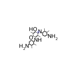 CC1=C(O)/C(=N/c2ccc(N)c(C)c2C)C(C)=C(Nc2ccc(N)c(C)c2C)C1=O